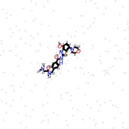 COc1ccc(N2CCOCC2)c2sc(NC(=O)c3ccc(CN(C)C(=O)CN(C)C)cc3)nc12